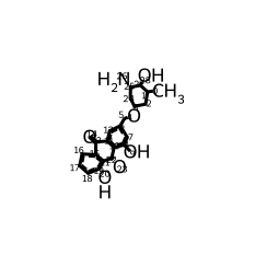 CC1C[C@@H](OCc2cc(O)c3c(c2)C(=O)c2cccc(O)c2C3=O)C[C@@H](N)C1O